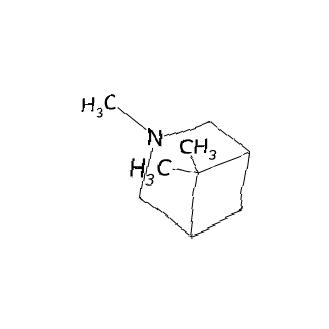 CN1CC2CC(C1)C2(C)C